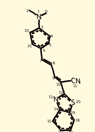 CN(C)c1ccc(C=CC=C(C#N)c2nc3ccccc3s2)cc1